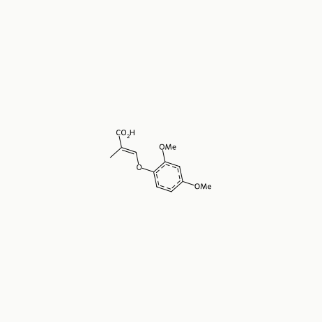 COc1ccc(OC=C(C)C(=O)O)c(OC)c1